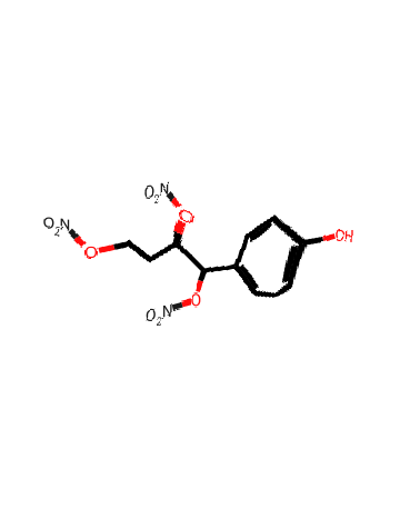 O=[N+]([O-])OCCC(O[N+](=O)[O-])C(O[N+](=O)[O-])c1ccc(O)cc1